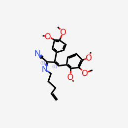 C=CCCC/N=C(C#N)\C(=C\c1ccc(OC)c(OC)c1OC)c1ccc(OC)c(OC)c1